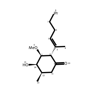 CO[C@H]1[C@H](C(C)=CCCC(C)C)C(=O)C[C@@H](C)[C@H]1O